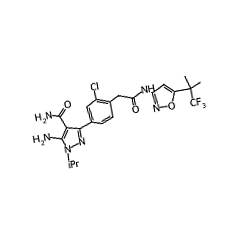 CC(C)n1nc(-c2ccc(CC(=O)Nc3cc(C(C)(C)C(F)(F)F)on3)c(Cl)c2)c(C(N)=O)c1N